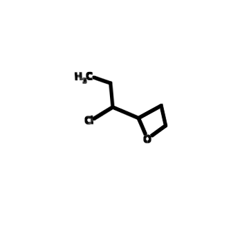 CCC(Cl)C1CCO1